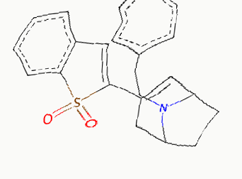 O=S1(=O)C(C2=CC3CCC(C2)N3Cc2ccccc2)=Cc2ccccc21